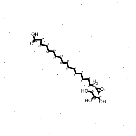 C1CO1.CCCCCCCCC=CCCCCCCCC(=O)O.OCC(O)CO